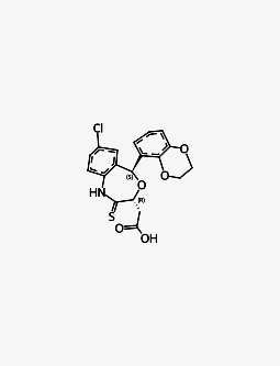 O=C(O)C[C@H]1O[C@H](c2cccc3c2OCCO3)c2cc(Cl)ccc2NC1=S